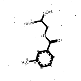 CCCCCCCCC(CCCCCC)COC(=O)c1cccc(C)c1